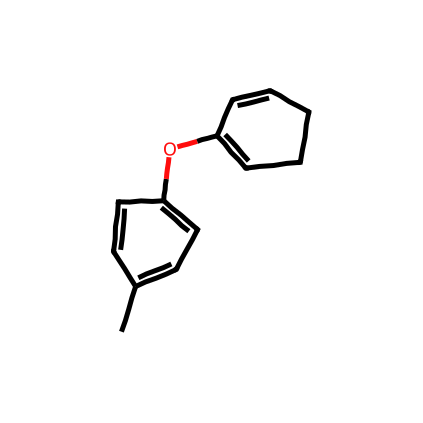 Cc1ccc(OC2=CCCC=C2)cc1